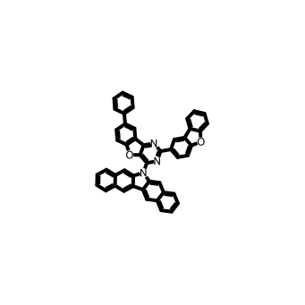 c1ccc(-c2ccc3oc4c(-n5c6cc7ccccc7cc6c6cc7ccccc7cc65)nc(-c5ccc6oc7ccccc7c6c5)nc4c3c2)cc1